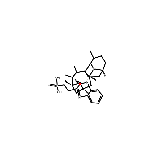 CC1CC[C@@H]2C[C@H](n3c(=O)c(CCP(=O)(O)O)nc4ccccc43)CC1N2[C@H]1CC(C)C(C)[C@H]2C[C@@H](C1)C2